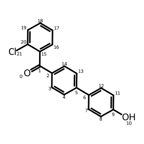 O=C(c1ccc(-c2ccc(O)cc2)cc1)c1ccccc1Cl